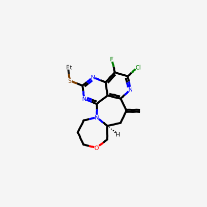 C=C1C[C@H]2COCCCN2c2nc(SCC)nc3c(F)c(Cl)nc1c23